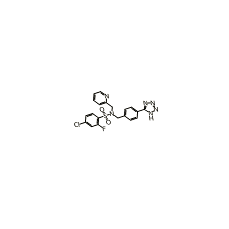 O=S(=O)(c1ccc(Cl)cc1F)N(Cc1ccc(-c2nnn[nH]2)cc1)Cc1ccccn1